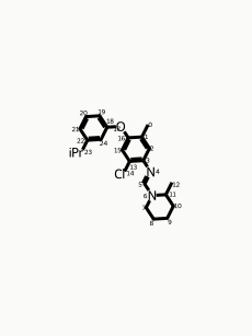 Cc1cc(N=CN2CCCCC2C)c(Cl)cc1Oc1cccc(C(C)C)c1